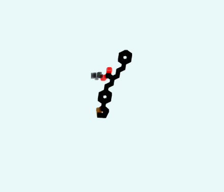 COC(=O)C(CCCc1ccccc1)CCc1ccc(-c2cccs2)cc1